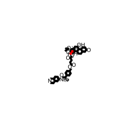 CN(C)[C@@H](C(=O)Nc1ccc2cnccc2c1)c1ccc(COC(=O)CCC(=O)OCC(=O)[C@@]23OC(C)(C)O[C@@H]2C[C@H]2C4CCC5=CC(=O)C=C[C@]5(C)[C@@]4(F)[C@@H](O)C[C@@]23C)cc1